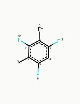 CCc1c(F)cc(F)c(C)c1F